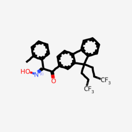 Cc1ccccc1/C(=N\O)C(=O)c1ccc2c(c1)C(CCC(F)(F)F)(CCC(F)(F)F)c1ccccc1-2